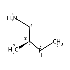 CP[C@@H](C)CN